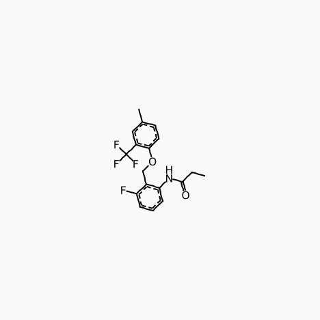 CCC(=O)Nc1cccc(F)c1COc1ccc(C)cc1C(F)(F)F